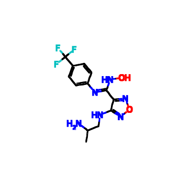 CC(N)CNc1nonc1/C(=N/c1ccc(C(F)(F)F)cc1)NO